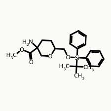 COC(=O)C1(N)CCC(CO[Si](c2ccccc2)(c2ccccc2)C(C)(C)C)OC1